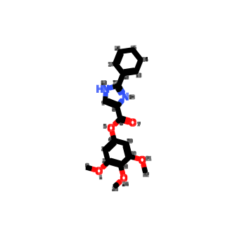 COc1cc(OC(=O)c2c[nH]c(C3=CCCC=C3)n2)cc(OC)c1OC